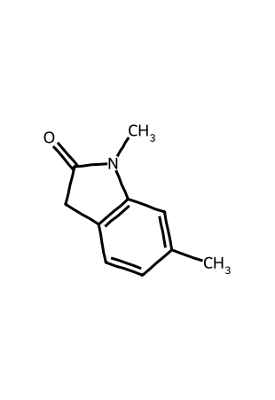 Cc1ccc2c(c1)N(C)C(=O)C2